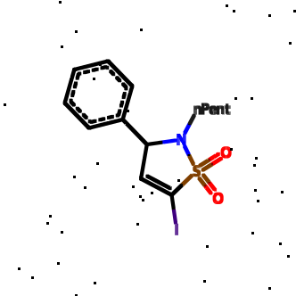 CCCCCN1C(c2ccccc2)C=C(I)S1(=O)=O